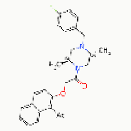 CC(=O)c1c(OCC(=O)N2C[C@@H](C)N(Cc3ccc(F)cc3)C[C@@H]2C)ccc2ccccc12